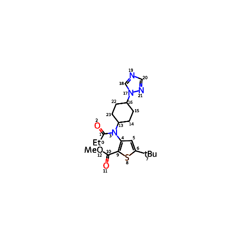 CCC(=O)N(c1cc(C(C)(C)C)sc1C(=O)OC)C1CCC(n2cncn2)CC1